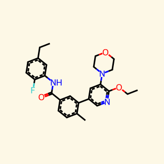 CCOc1ncc(-c2cc(C(=O)Nc3cc(CC)ccc3F)ccc2C)cc1N1CCOCC1